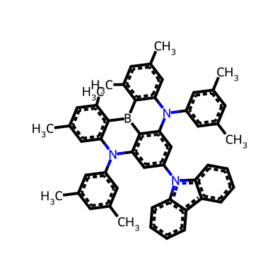 Cc1cc(C)cc(N2c3cc(C)cc(C)c3B3c4c(C)cc(C)cc4N(c4cc(C)cc(C)c4)c4cc(-n5c6ccccc6c6ccccc65)cc2c43)c1